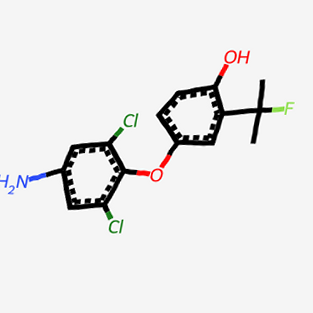 CC(C)(F)c1cc(Oc2c(Cl)cc(N)cc2Cl)ccc1O